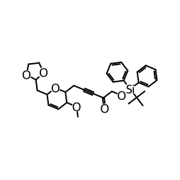 COC1C=CC(CC2OCCO2)OC1CC#CC(=O)CO[Si](c1ccccc1)(c1ccccc1)C(C)(C)C